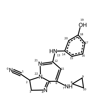 N#CC1CN=C2C(NC3CC3)=CC(Nc3cccc(O)c3)=NN21